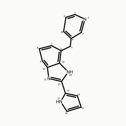 c1cncc(Cc2cccc3nc(-c4ccc[nH]4)[nH]c23)c1